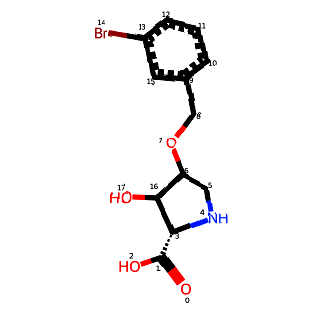 O=C(O)[C@H]1NCC(OCc2cccc(Br)c2)C1O